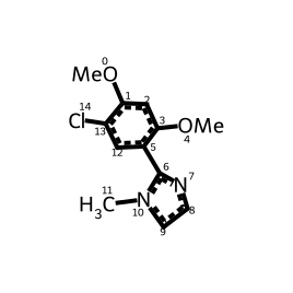 COc1cc(OC)c(-c2nccn2C)cc1Cl